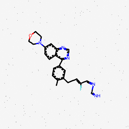 Cc1ccc(-c2ncnc3cc(N4CCOCC4)ccc23)cc1C/C=C(F)/C=N\C=N